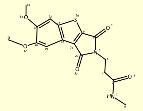 CNC(=O)CCN1C(=O)c2sc3cc(OC)c(OC)cc3c2C1=O